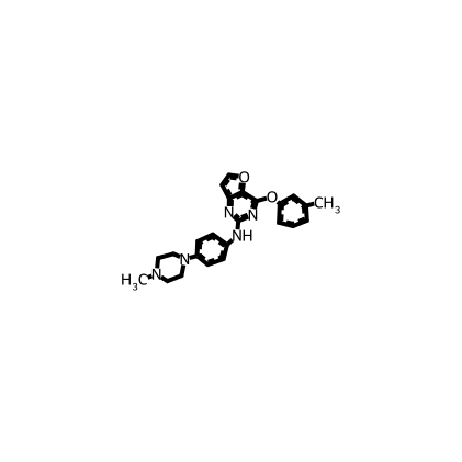 Cc1cccc(Oc2nc(Nc3ccc(N4CCN(C)CC4)cc3)nc3ccoc23)c1